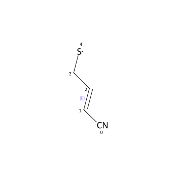 N#C/C=C/C[S]